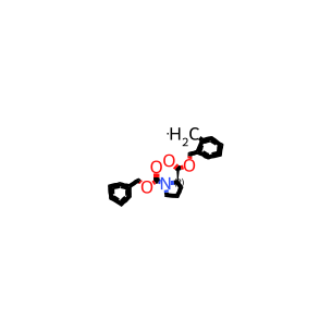 [CH2]c1ccccc1COC(=O)[C@H]1CCCN1C(=O)OCc1ccccc1